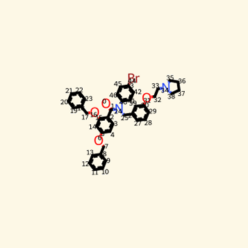 O=C(c1ccc(OCc2ccccc2)cc1OCc1ccccc1)N(Cc1cccc(OCCN2CCCC2)c1)c1ccc(Br)cc1